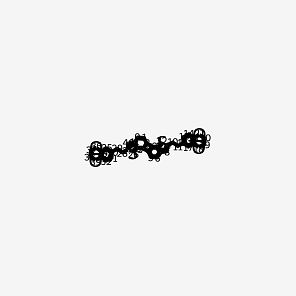 C1=CC2c3c(ccc4cc(CCc5ccc6c(c5)OCCO6)sc34)C2c2sc(CCc3ccc4c(c3)OCCO4)cc21